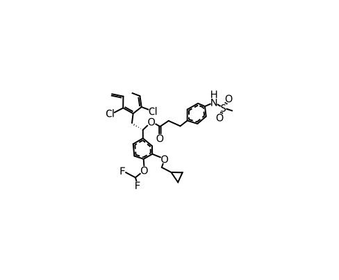 C=C/C(Cl)=C(C[C@H](OC(=O)CCc1ccc(NS(C)(=O)=O)cc1)c1ccc(OC(F)F)c(OCC2CC2)c1)\C(Cl)=C/C